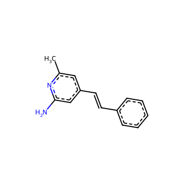 Cc1cc(C=Cc2ccccc2)cc(N)n1